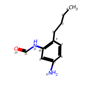 CCCCc1ccc(N)cc1NC=O